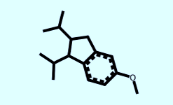 COc1ccc2c(c1)CC(C(C)C)C2C(C)C